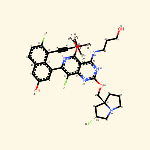 CC(C)Oc1nc(-c2cc(O)cc3ccc(F)c(C#C[Si](C(C)C)(C(C)C)C(C)C)c23)c(F)c2nc(OC[C@@]34CCCN3C[C@H](F)C4)nc(NCCCO)c12